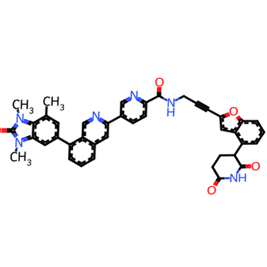 Cc1cc(-c2cccc3cc(-c4ccc(C(=O)NCC#Cc5cc6c(C7CCC(=O)NC7=O)cccc6o5)nc4)ncc23)cc2c1n(C)c(=O)n2C